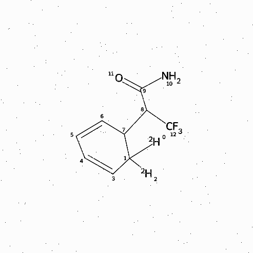 [2H]C1([2H])C=CC=CC1C(C(N)=O)C(F)(F)F